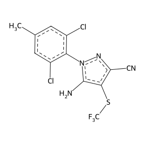 Cc1cc(Cl)c(-n2nc(C#N)c(SC(F)(F)F)c2N)c(Cl)c1